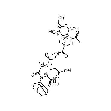 CC(=O)N[C@@H]1[C@H](O[C@H](C)C(=O)NCC(=O)N[C@@H](C)C(=O)N(C2C3CC4CC(C3)CC2C4)[C@H](CCC(=O)O)C(N)=O)[C@H](O)[C@@H](CO)O[C@@H]1O